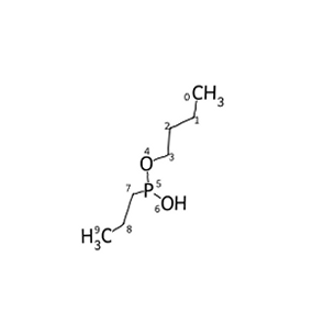 CCCCOP(O)CCC